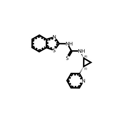 S=C(Nc1nc2ccccc2s1)N[C@@H]1C[C@@H]1c1ccccn1